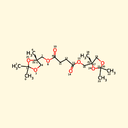 CC1(C)OC[C@@](C)(COC(=O)CCC(=O)OC[C@]2(C)COC(C)(C)O2)O1